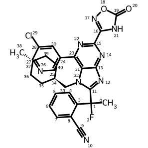 CC(F)(c1ccccc1C#N)c1nc2nc(-c3noc(=O)[nH]3)nc(-c3cncc(Cl)c3)c2n1C[C@H]1CC[C@H](C)CC1